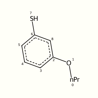 CCCOc1cccc(S)c1